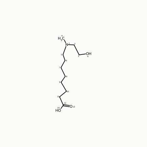 CN(CCO)CCCCCCCC(=O)O